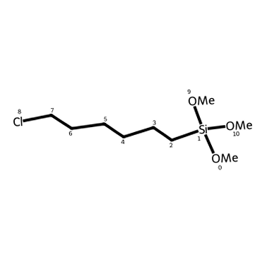 CO[Si](CCCCCCCl)(OC)OC